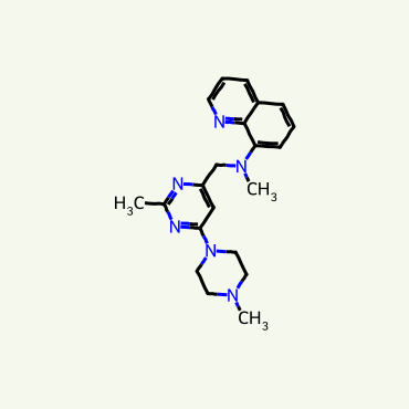 Cc1nc(CN(C)c2cccc3cccnc23)cc(N2CCN(C)CC2)n1